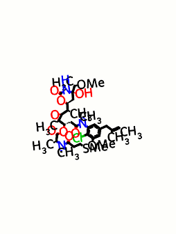 C/C=C(\C)Cc1cc(OC)c(Cl)c(N(C)C(=O)C[C@H](OC(=O)[C@H](C)N(C)C(=O)CCSC)[C@]2(C)O[C@H]2[C@H](C)[C@@H]2C[C@](O)([C@@H](C)OC)NC(=O)O2)c1